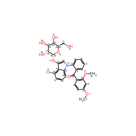 COc1ccc(C(=O)c2ccccc2-n2cc(O[C@H]3O[C@H](CO)[C@H](O)[C@H](O)[C@H]3O)c3c(Cl)cccc32)c(OC)c1